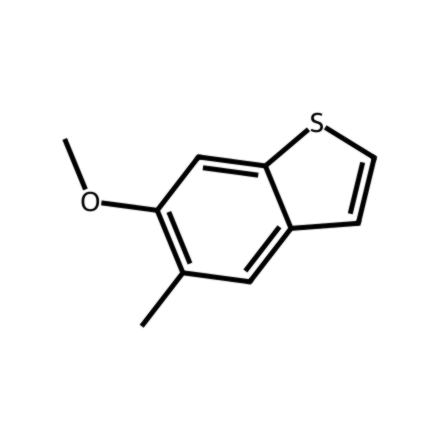 COc1cc2sccc2cc1C